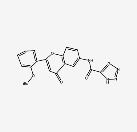 CCC(C)Oc1ccccc1-c1cc(=O)c2cc(NC(=O)c3nnn[nH]3)ccc2o1